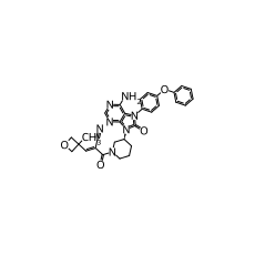 CC1(C=C(C#N)C(=O)N2CCC[C@H](n3c(=O)n(-c4ccc(Oc5ccccc5)cc4)c4c(N)ncnc43)C2)COC1